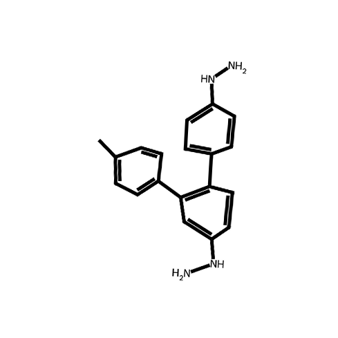 Cc1ccc(-c2cc(NN)ccc2-c2ccc(NN)cc2)cc1